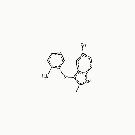 Cc1[nH]c2ccc(O)cc2c1Sc1ccccc1N